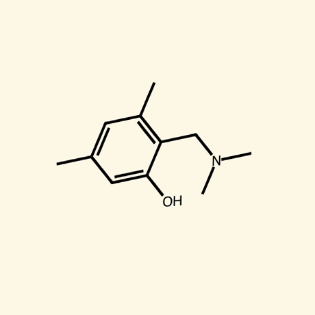 Cc1cc(C)c(CN(C)C)c(O)c1